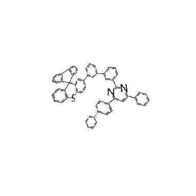 c1ccc(-c2ccc(-c3cc(-c4ccccc4)nc(-c4cccc(-c5cccc(-c6ccc7c(c6)C6(c8ccccc8S7)c7ccccc7-c7ccccc76)c5)c4)n3)cc2)cc1